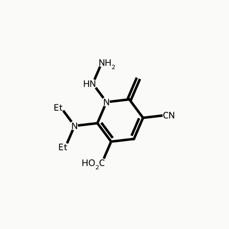 C=C1C(C#N)=CC(C(=O)O)=C(N(CC)CC)N1NN